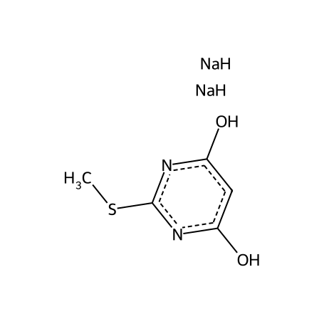 CSc1nc(O)cc(O)n1.[NaH].[NaH]